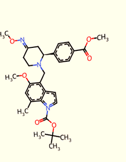 CON=C1CCN(Cc2c(OC)cc(C)c3c2ccn3C(=O)OC(C)(C)C)[C@H](c2ccc(C(=O)OC)cc2)C1